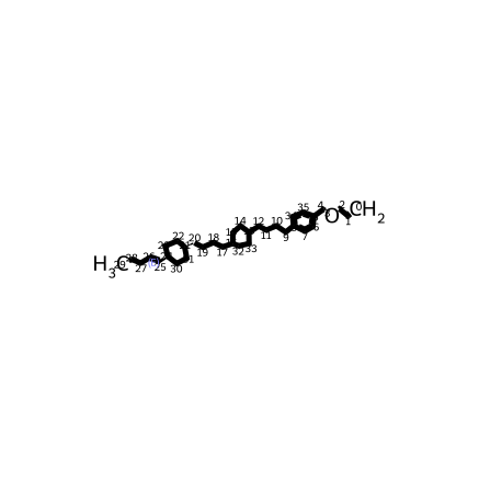 C=CCOCc1ccc(CCCCC2CCC(CCCC[C@H]3CC[C@H](/C=C/CCC)CC3)CC2)cc1